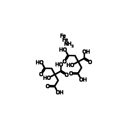 N.O=C(O)CC(O)(CC(=O)O)C(=O)O.O=C(O)CC(O)(CC(=O)O)C(=O)O.[Fe].[Fe]